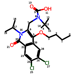 CCCCOc1c(CN(C(=O)O)C(C)(C)C)n(C(C)C)c(=O)c2cc(Cl)c(Cl)cc12